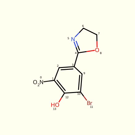 O=[N+]([O-])c1cc(C2=NCCO2)cc(Br)c1O